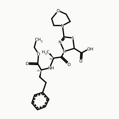 CCOC(=O)[C@H](CCc1ccccc1)N[C@@H](C)C(=O)N1N=C(N2CCOCC2)SC1C(=O)O